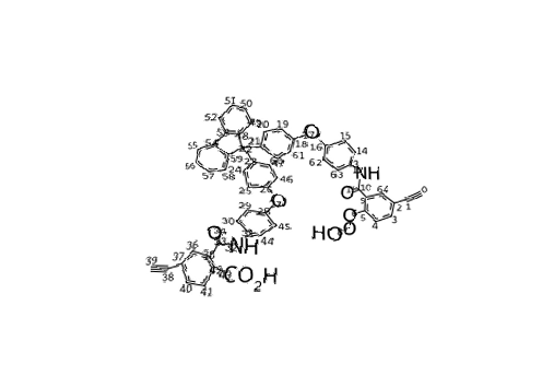 C#Cc1ccc(OOO)c(C(=O)Nc2ccc(Oc3ccc(C4(c5ccc(Oc6ccc(NC(=O)c7cc(C#C)ccc7C(=O)O)cc6)cc5)c5ccccc5-c5ccccc54)cc3)cc2)c1